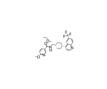 CCOC[C@@H](NC(=O)c1ccc(OC)nc1)[C@H]1CC[C@@H](c2ccnc3ccc(C(F)(F)F)cc32)CC1